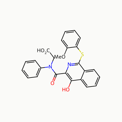 COc1ccccc1Sc1nc(C(=O)N(CC(=O)O)c2ccccc2)c(O)c2ccccc12